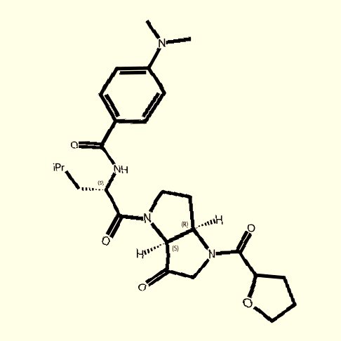 CC(C)C[C@H](NC(=O)c1ccc(N(C)C)cc1)C(=O)N1CC[C@@H]2[C@H]1C(=O)CN2C(=O)C1CCCO1